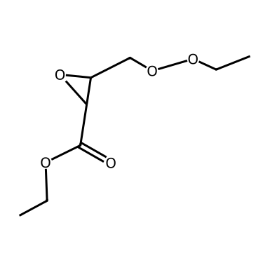 CCOOCC1OC1C(=O)OCC